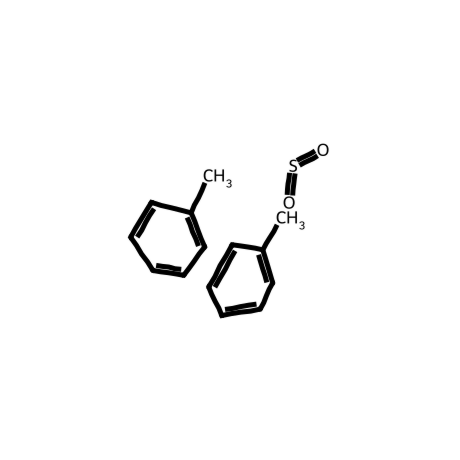 Cc1ccccc1.Cc1ccccc1.O=S=O